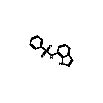 O=S(=O)(Nc1cccc2cn[nH]c12)c1ccccc1